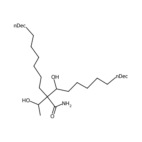 CCCCCCCCCCCCCCCCC(C(N)=O)(C(C)O)C(O)CCCCCCCCCCCCCCC